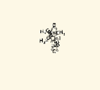 COC1=CC(=O)CC(C)[C@@]12Oc1c(Cl)c(C3=NOC4(CCOCC4)C3)cc(OC)c1C2=O